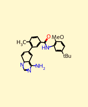 COc1ccc(C(C)(C)C)cc1NC(=O)c1ccc(C)c(-c2ccc3ncnc(N)c3c2)c1